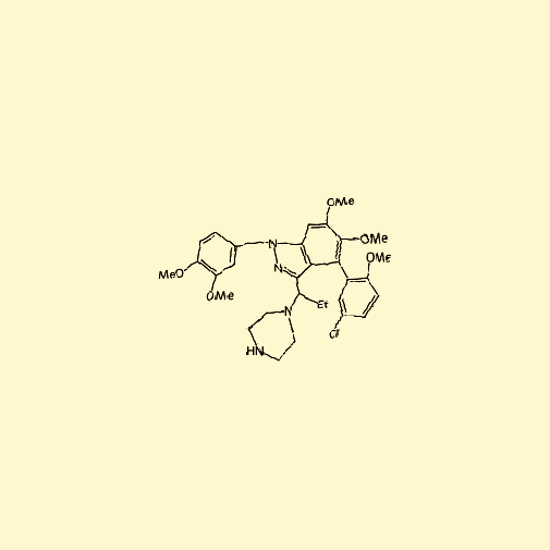 CCC(c1nn(Cc2ccc(OC)c(OC)c2)c2cc(OC)c(OC)c(-c3cc(Cl)ccc3OC)c12)N1CCNCC1